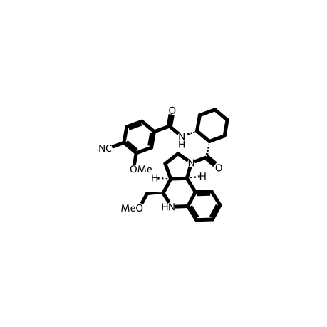 COC[C@@H]1Nc2ccccc2[C@H]2[C@@H]1CCN2C(=O)[C@H]1CCCC[C@H]1NC(=O)c1ccc(C#N)c(OC)c1